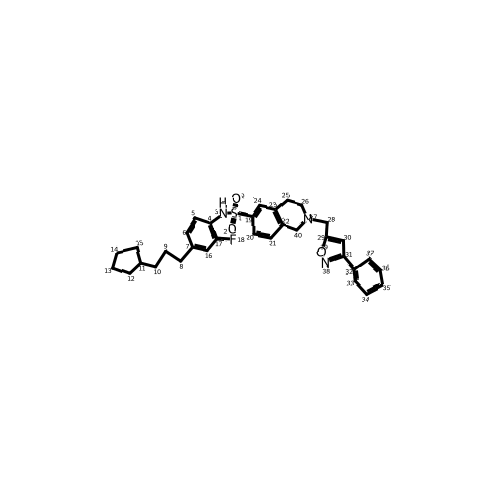 O=S(=O)(Nc1ccc(CCCC2CCCC2)cc1F)c1ccc2c(c1)CCN(Cc1cc(-c3ccccc3)no1)C2